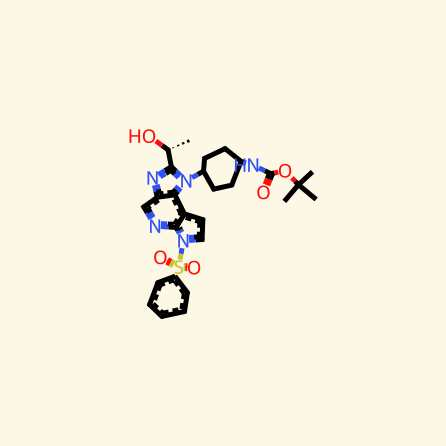 C[C@@H](O)c1nc2cnc3c(ccn3S(=O)(=O)c3ccccc3)c2n1C1CCC(NC(=O)OC(C)(C)C)CC1